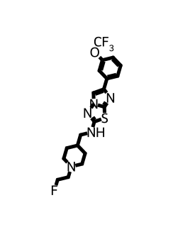 FCCN1CCC(CNc2nn3cc(-c4cccc(OC(F)(F)F)c4)nc3s2)CC1